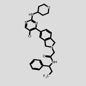 O=C(CN1Cc2ccc(-c3nc(NC4CCOCC4)ncc3Cl)cc2C1)NC(CC(F)(F)F)c1ccccc1